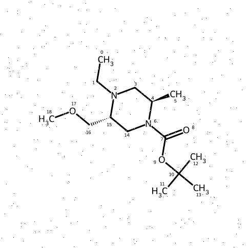 CCN1C[C@@H](C)N(C(=O)OC(C)(C)C)C[C@@H]1COC